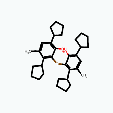 Cc1cc(C2CCCC2)c(O)c(Sc2c(O)c(C3CCCC3)cc(C)c2C2CCCC2)c1C1CCCC1